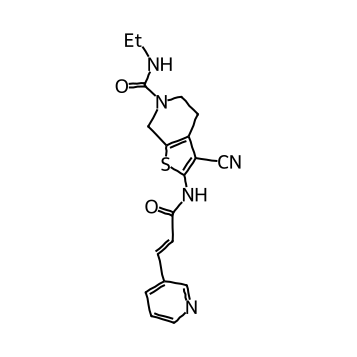 CCNC(=O)N1CCc2c(sc(NC(=O)C=Cc3cccnc3)c2C#N)C1